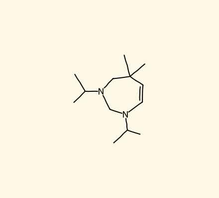 CC(C)N1C=CC(C)(C)CN(C(C)C)C1